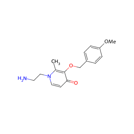 COc1ccc(COc2c(C)n(CCN)ccc2=O)cc1